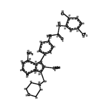 COc1c(-c2ccc(NC(=O)Nc3cc(C(F)(F)F)ccc3Cl)cc2)c2c(N)ncnn2c1CN1CCOCC1